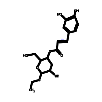 CCOC1OC(CO)C(OC(=O)/C=C/c2ccc(O)c(O)c2)CC1O